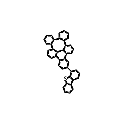 c1ccc2c(c1)sc1c(-c3ccc4c(c3)c3cccc5c6ccccc6c6ccccc6c6cccc4c6c53)cccc12